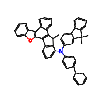 CC1c2c(cccc2N(c2ccc(C3C=CC=CC3)cc2)c2ccc3c(c2)C(C)(C)c2ccccc2-3)-c2c1c1ccccc1c1c2oc2ccccc21